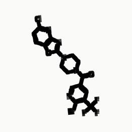 O=C(c1cnc(Br)c(C(F)(F)F)c1)N1CCN(c2nc3nc(Cl)ccc3o2)CC1